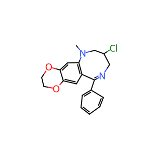 CN1CC(Cl)CN=C(c2ccccc2)c2cc3c(cc21)OCCO3